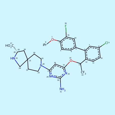 CC(C)Oc1ccc(-c2cc(Cl)ccc2C(Oc2cc(N3CCC4(CC3)CN[C@H](C(=O)O)C4)nc(N)n2)C(F)(F)F)cc1F